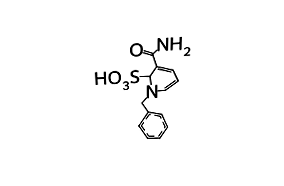 NC(=O)C1=CC=CN(Cc2ccccc2)C1S(=O)(=O)O